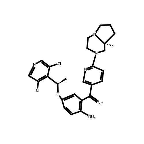 C[C@@H](Oc1ccc(N)c(C(=N)c2ccc(N3CCN4CCC[C@H]4C3)nc2)c1)c1c(Cl)cncc1Cl